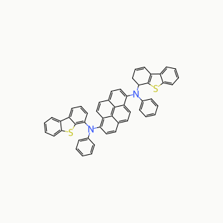 C1=Cc2c(sc3ccccc23)C(N(c2ccccc2)c2ccc3ccc4c(N(c5ccccc5)c5cccc6c5sc5ccccc56)ccc5ccc2c3c54)C1